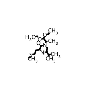 CCOC(OCC)[C@@H](C)N(CCC(C)C)C(=O)[C@@H](N)CCSC